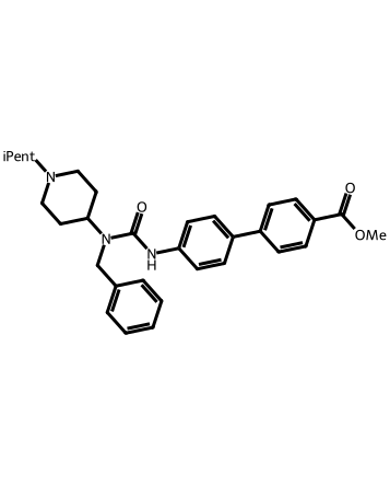 CCCC(C)N1CCC(N(Cc2ccccc2)C(=O)Nc2ccc(-c3ccc(C(=O)OC)cc3)cc2)CC1